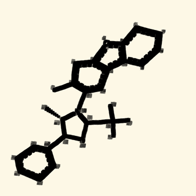 Cc1cc2oc3ccccc3c2cc1N1C(C(C)(C)C)SC(c2ccccc2)[C@@H]1C